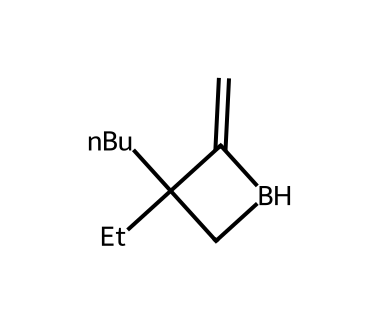 C=C1BCC1(CC)CCCC